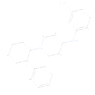 FC(F)(F)c1cccc(NC2CCN(C3CCCCC3c3ccccc3)CC2)c1